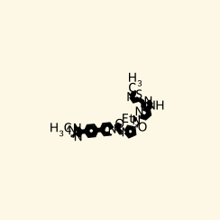 CCN(C(=O)[C@@H]1CCN(CC(=O)N2CC=C(c3ccc(-c4ncn(C)n4)cc3)CC2)C1)c1ccc2[nH]nc(-c3cnc(C)s3)c2n1